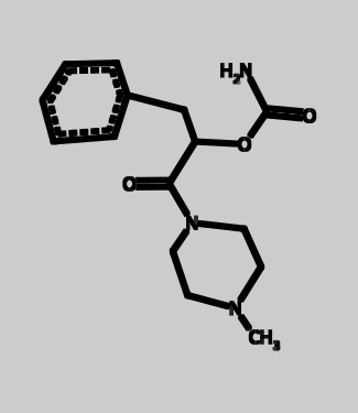 CN1CCN(C(=O)C(Cc2ccccc2)OC(N)=O)CC1